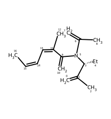 C=C(C)[C@@H](CC)N(C(=C)C)C(=C)/C(C)=C\C=C/C